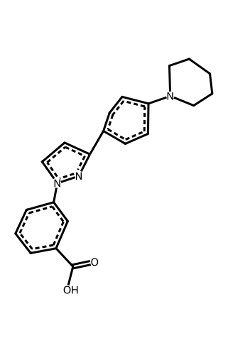 O=C(O)c1cccc(-n2ccc(-c3ccc(N4CCCCC4)cc3)n2)c1